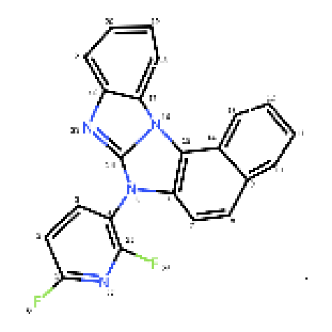 Fc1ccc(-n2c3ccc4ccccc4c3n3c4ccccc4nc23)c(F)n1